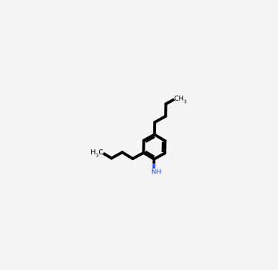 CCCCc1ccc([NH])c(CCCC)c1